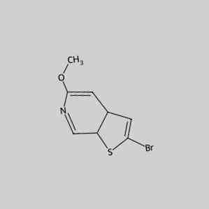 COC1=CC2C=C(Br)SC2C=N1